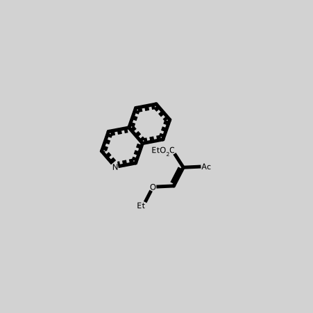 CCOC=C(C(C)=O)C(=O)OCC.c1ccc2cnccc2c1